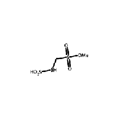 COS(=O)(=O)CBS(=O)(=O)O